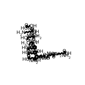 CC(C)[C@H](N)C(=O)O.NC(=O)CC[C@H](N)C(=O)O.NC(=O)CC[C@H](N)C(=O)O.NCCCC[C@H](N)C(=O)O.NCCCC[C@H](N)C(=O)O.N[C@@H](CO)C(=O)O.N[C@@H](Cc1c[nH]c2ccccc12)C(=O)O.N[C@@H](Cc1ccc(O)cc1)C(=O)O.N[C@@H](Cc1ccccc1)C(=O)O.O=C(O)[C@@H]1CCCN1